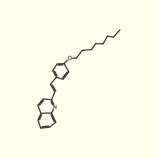 CCCCCCCCOc1ccc(/C=C/c2ccc3ccccc3n2)cc1